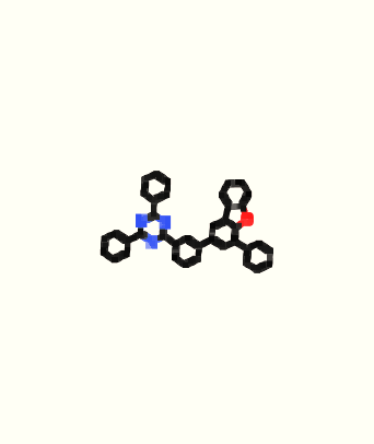 c1ccc(-c2nc(-c3ccccc3)nc(-c3cccc(-c4cc(-c5ccccc5)c5oc6ccccc6c5c4)c3)n2)cc1